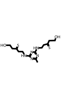 Cc1nc(NCCC(=S)CCO)nc(NCCC(=S)CCO)n1